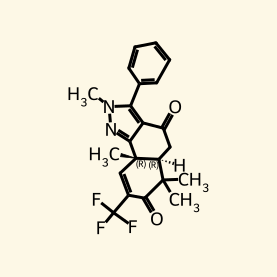 Cn1nc2c(c1-c1ccccc1)C(=O)C[C@H]1C(C)(C)C(=O)C(C(F)(F)F)=C[C@]21C